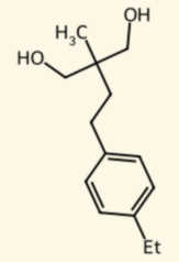 CCc1ccc(CCC(C)(CO)CO)cc1